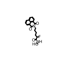 O=C(NO)C(F)CCCCN1C(=O)c2cccc3cccc(c23)C1=O